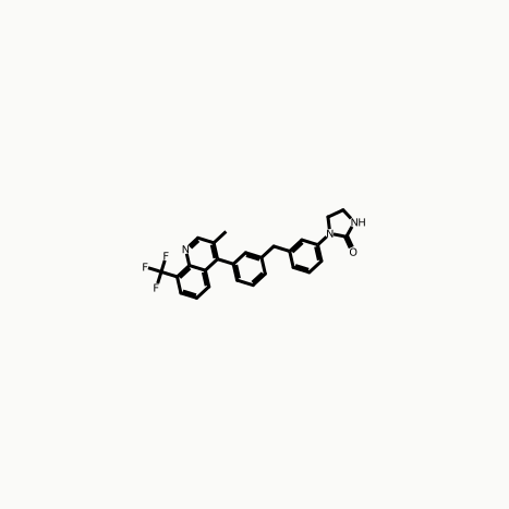 Cc1cnc2c(C(F)(F)F)cccc2c1-c1cccc(Cc2cccc(N3CCNC3=O)c2)c1